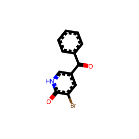 O=C(c1ccccc1)c1c[nH]c(=O)c(Br)c1